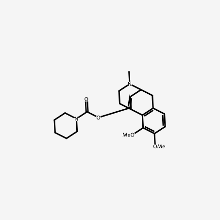 COc1ccc2c(c1OC)C13CCN(C)C(C2)C1CC=C(OC(=O)N1CCCCC1)C3